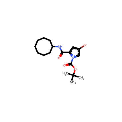 CC(C)(C)OC(=O)n1cc(Br)cc1C(=O)NC1CCCCCCC1